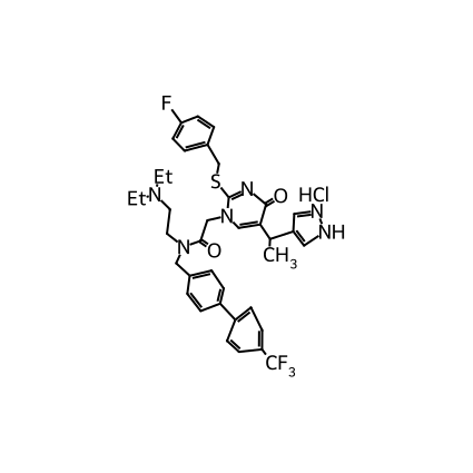 CCN(CC)CCN(Cc1ccc(-c2ccc(C(F)(F)F)cc2)cc1)C(=O)Cn1cc(C(C)c2cn[nH]c2)c(=O)nc1SCc1ccc(F)cc1.Cl